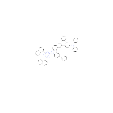 c1ccc(-c2ccc3c(c2)c2c4cc5c6ccc(N(c7ccccc7)c7ccccc7)cc6c6ccccc6c5cc4ccc2n3-c2nc(-c3cccc4ccccc34)nc(-c3cccc4ccccc34)n2)cc1